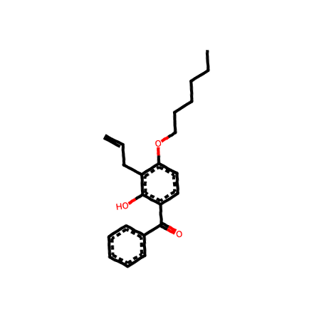 C=CCc1c(OCCCCCC)ccc(C(=O)c2ccccc2)c1O